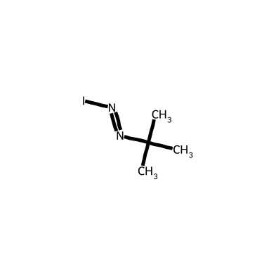 CC(C)(C)N=NI